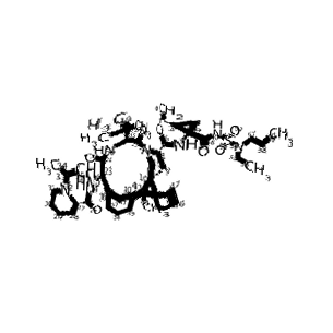 C=C[C@@H]1C[C@]1(NC(=O)[C@@H]1C[C@@]23CN1C(=O)[C@H](C(C)(C)C)NC(=O)[C@@H](NC(=O)[C@@H]1CCCCN1C(C)C)C1CCCC(C1)C2(C)C31CCC1)C(=O)NS(=O)(=O)N(CC)CCC